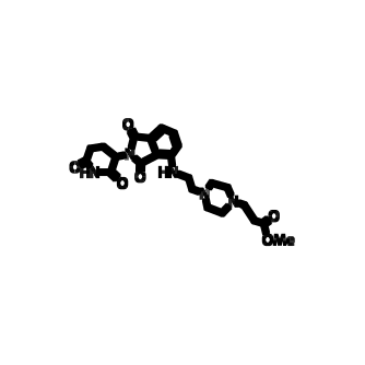 COC(=O)CCN1CCN(CCNc2cccc3c2C(=O)N(C2CCC(=O)NC2=O)C3=O)CC1